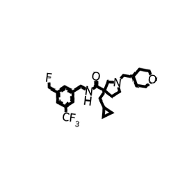 O=C(NCc1cc(CF)cc(C(F)(F)F)c1)C1(CC2CC2)CCN(CC2CCOCC2)C1